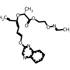 C=C/C(=C\C=C\Oc1cnc2ccccc2n1)O[C@H](C)C(=O)OCCON=CC